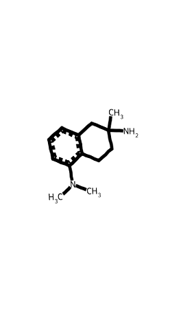 CN(C)c1cccc2c1CCC(C)(N)C2